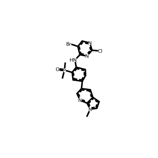 Cn1ccc2cc(-c3ccc(Nc4nc(Cl)ncc4Br)c(P(C)(C)=O)c3)cnc21